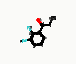 N#CCC(=O)c1cccc(F)c1F